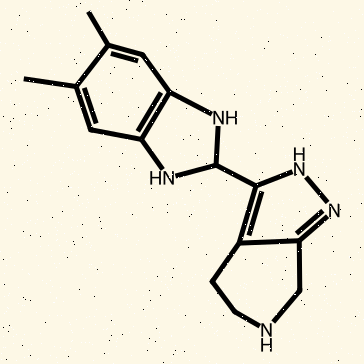 Cc1cc2c(cc1C)NC(c1[nH]nc3c1CCNC3)N2